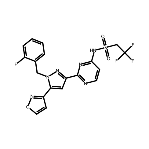 O=S(=O)(CC(F)(F)F)Nc1ccnc(-c2cc(-c3ccon3)n(Cc3ccccc3F)n2)n1